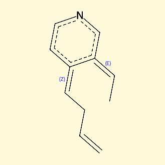 C=CC/C=c1/ccnc/c1=C/C